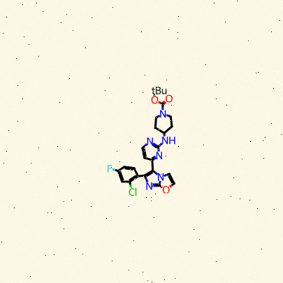 CC(C)(C)OC(=O)N1CCC(Nc2nccc(-c3c(-c4ccc(F)cc4Cl)nc4occn34)n2)CC1